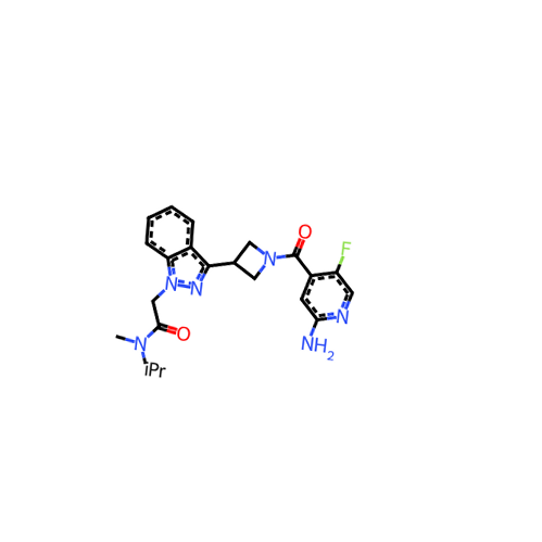 CC(C)N(C)C(=O)Cn1nc(C2CN(C(=O)c3cc(N)ncc3F)C2)c2ccccc21